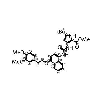 COC(=O)c1[nH]c(C(C)(C)C)cc1NC(=O)Nc1ccc(OCCc2ccc(OC)c(OC)c2)c2ccccc12